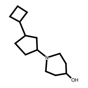 OC1CCN(C2CCC(C3CCC3)C2)CC1